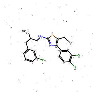 CC(C)Cc1sc(NCC(Cc2cccc(F)c2)C(=O)O)nc1-c1ccc(Cl)c(Cl)c1